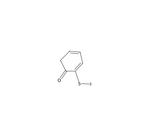 O=C1CC=CC=C1SI